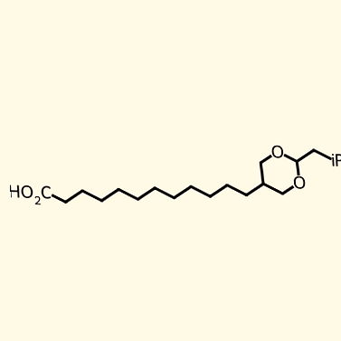 CC(C)CC1OCC(CCCCCCCCCCCC(=O)O)CO1